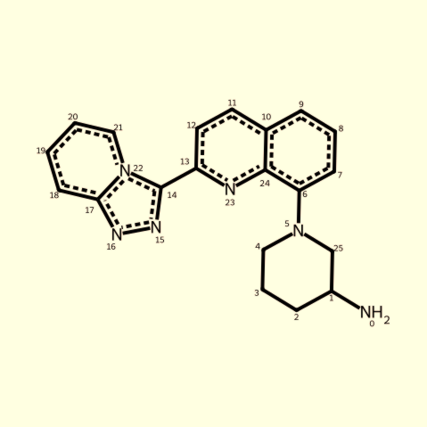 NC1CCCN(c2cccc3ccc(-c4nnc5ccccn45)nc23)C1